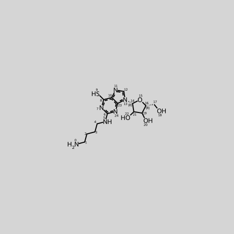 NCCCCNc1nc(S)c2ncn([C@@H]3O[C@H](CO)C(O)C3O)c2n1